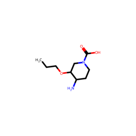 CCCOC1CN(C(=O)O)CCC1N